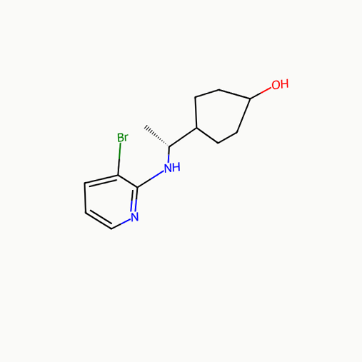 C[C@@H](Nc1ncccc1Br)C1CCC(O)CC1